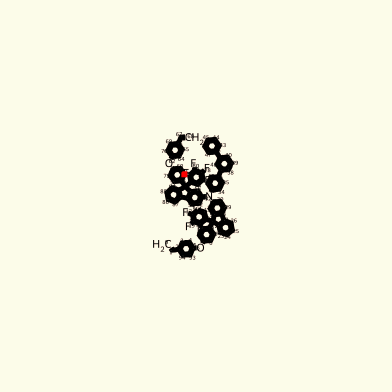 C=Cc1ccc(Oc2ccc(C3(c4cc(F)c(F)c(F)c4F)c4ccccc4-c4ccc(N(c5ccc(-c6cccc(-c7ccccc7)c6)cc5)c5ccc6c(c5)C(c5ccc(Oc7ccc(C=C)cc7)cc5)(c5cc(F)c(F)c(F)c5F)c5ccccc5-6)cc43)cc2)cc1